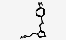 CC(=O)OCCn1cncc1CSc1ccc(N)cc1